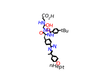 C=N/C(=N\C=C(/C)c1ccc(OCCCCCCC)cc1)c1ccc(C[C@H](NC(=O)c2ccc(C(C)(C)C)cc2)C(=O)NCC(O)NCCC(=O)O)cc1